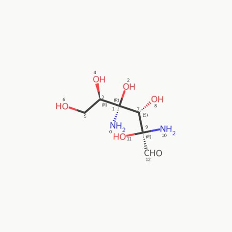 N[C@@](O)([C@H](O)CO)[C@H](O)[C@@](N)(O)C=O